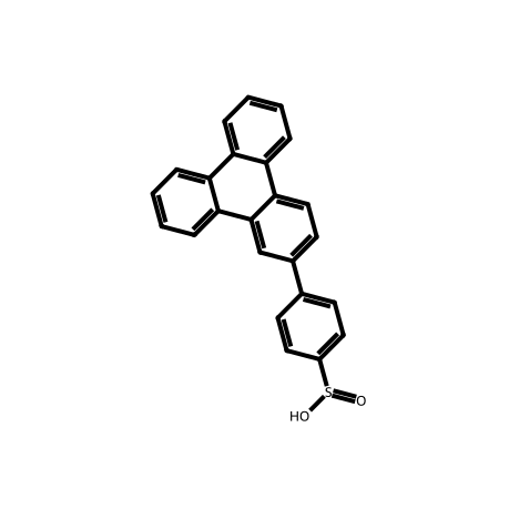 O=S(O)c1ccc(-c2ccc3c4ccccc4c4ccccc4c3c2)cc1